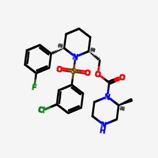 C[C@H]1CNCCN1C(=O)OC[C@H]1CCC[C@@H](c2cccc(F)c2)N1S(=O)(=O)c1cccc(Cl)c1